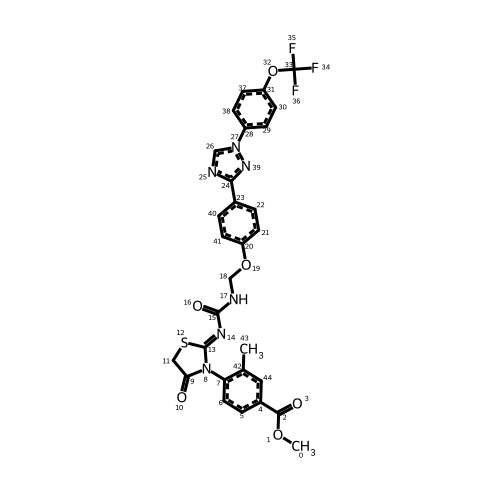 COC(=O)c1ccc(N2C(=O)CS/C2=N\C(=O)NCOc2ccc(-c3ncn(-c4ccc(OC(F)(F)F)cc4)n3)cc2)c(C)c1